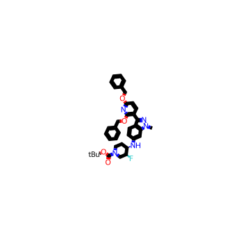 Cn1nc(-c2ccc(OCc3ccccc3)nc2OCc2ccccc2)c2ccc(N[C@H]3CCN(C(=O)OC(C)(C)C)C[C@@H]3F)cc21